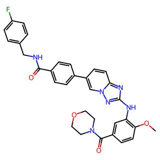 COc1ccc(C(=O)N2CCOCC2)cc1Nc1nc2ccc(-c3ccc(C(=O)NCc4ccc(F)cc4)cc3)cn2n1